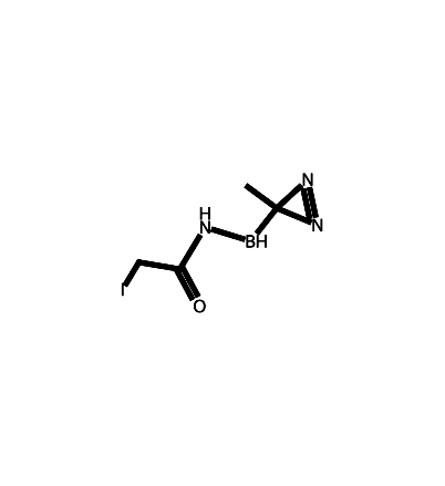 CC1(BNC(=O)CI)N=N1